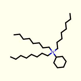 CCCCCCCC[N+](CCCCCCCC)(CCCCCCCC)C1CCCCC1